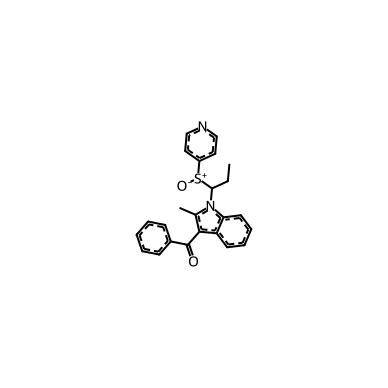 CCC(n1c(C)c(C(=O)c2ccccc2)c2ccccc21)[S+]([O-])c1ccncc1